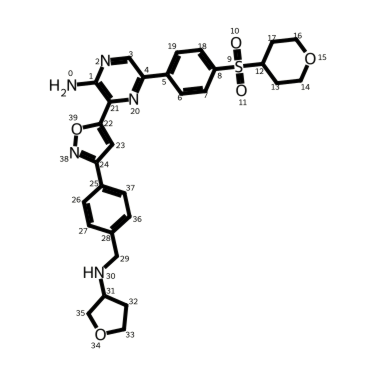 Nc1ncc(-c2ccc(S(=O)(=O)C3CCOCC3)cc2)nc1-c1cc(-c2ccc(CNC3CCOC3)cc2)no1